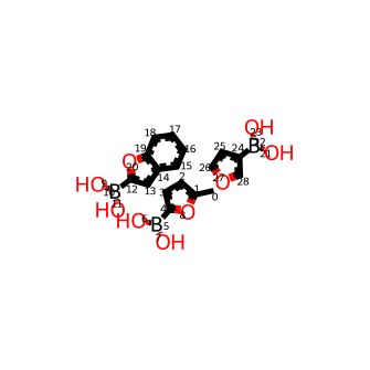 Cc1ccc(B(O)O)o1.OB(O)c1cc2ccccc2o1.OB(O)c1ccoc1